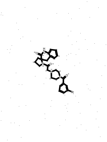 O=C(c1cccc(Br)c1)N1CCN(CC(=O)N2CCCC23Cc2ccccc2NC3=O)CC1